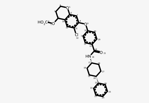 O=C(O)OC1CCOc2cc(Oc3ccc(C(=O)N[C@H]4CC[C@@H](c5ccccc5)CC4)cc3)c(Cl)cc21